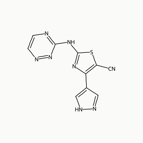 N#Cc1sc(Nc2nccnn2)nc1-c1cn[nH]c1